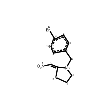 O=[N+]([O-])C=C1SCCN1Cc1ccc(Br)nc1